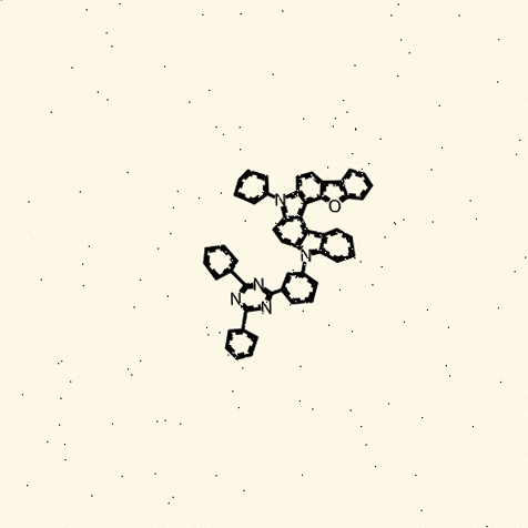 c1ccc(-c2nc(-c3ccccc3)nc(-c3cccc(-n4c5ccccc5c5c6c7c8oc9ccccc9c8ccc7n(-c7ccccc7)c6ccc54)c3)n2)cc1